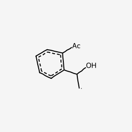 [CH2]C(O)c1ccccc1C(C)=O